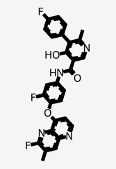 Cc1cc2nccc(Oc3ccc(NC(=O)c4cnc(C)c(-c5ccc(F)cc5)c4O)cc3F)c2nc1F